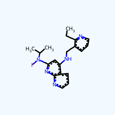 CCc1ncccc1CNc1cc(N(I)C(C)C)nc2ncccc12